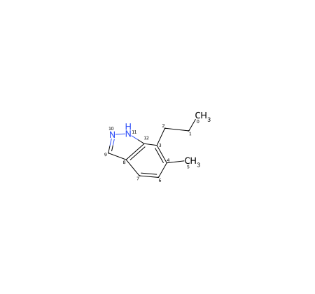 CCCc1c(C)ccc2cn[nH]c12